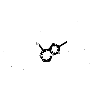 Cc1cc2c(Br)nccn2n1